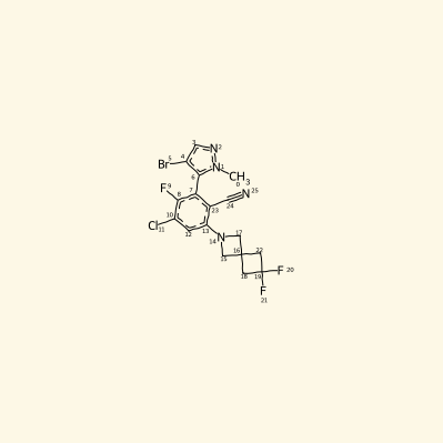 Cn1ncc(Br)c1-c1c(F)c(Cl)cc(N2CC3(C2)CC(F)(F)C3)c1C#N